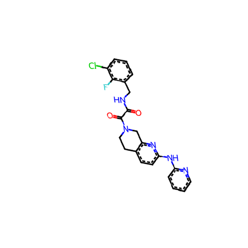 O=C(NCc1cccc(Cl)c1F)C(=O)N1CCc2ccc(Nc3ccccn3)nc2C1